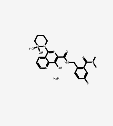 CN(C)C(=O)c1cc(F)ccc1CNC(=O)c1nc(N2CCCCS2(O)O)c2cccnc2c1O.[NaH]